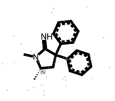 C[C@H]1CC(c2ccccc2)(c2ccccc2)C(=N)N1C